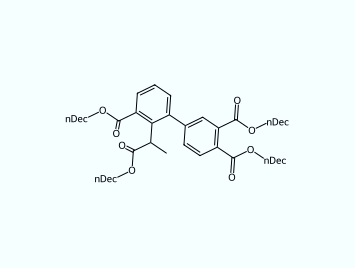 CCCCCCCCCCOC(=O)c1ccc(-c2cccc(C(=O)OCCCCCCCCCC)c2C(C)C(=O)OCCCCCCCCCC)cc1C(=O)OCCCCCCCCCC